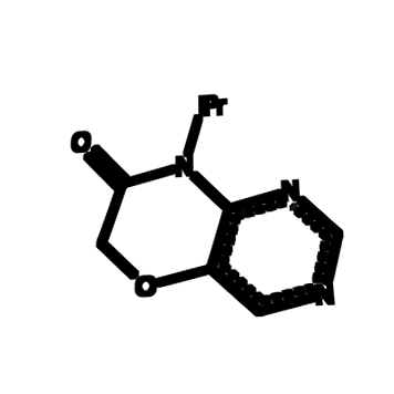 CC(C)N1C(=O)COc2cncnc21